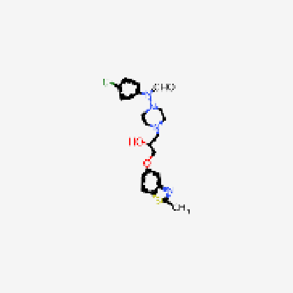 Cc1nc2cc(OC[C@H](O)CN3CCN(N(C=O)c4ccc(Cl)cc4)CC3)ccc2s1